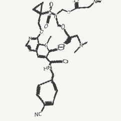 CN(C)CC(=O)OCN(COC(=O)CN(C)C)S(=O)(=O)C1(COc2nccc3cc(C(=O)NCc4ccc(C#N)cc4)c(=O)n(C)c23)CC1